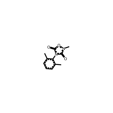 Cc1cccc(C)c1-n1c(=O)on(C)c1=O